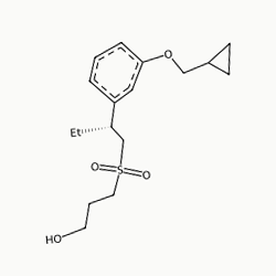 CC[C@@H](CS(=O)(=O)CCCO)c1cccc(OCC2CC2)c1